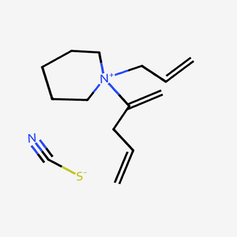 C=CCC(=C)[N+]1(CC=C)CCCCC1.N#C[S-]